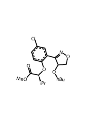 CCCCOC1CON=C1c1cc(Cl)ccc1O[C@H](C(=O)OC)C(C)C